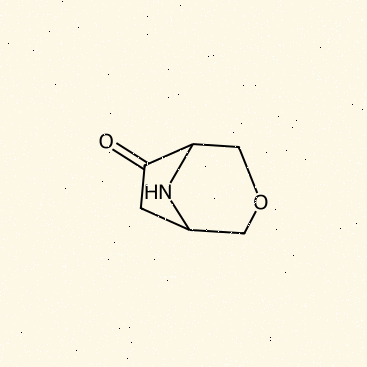 O=C1CC2COCC1N2